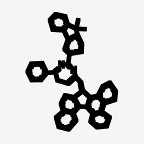 CC1(C)c2ccccc2-c2cc(C3=NC(/C=C4\c5ccc6ccccc6c5-c5c4c4ccccc4c4ccccc54)=CCC(c4ccccc4)=N3)ccc21